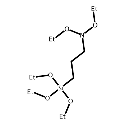 CCON(CCC[Si](OCC)(OCC)OCC)OCC